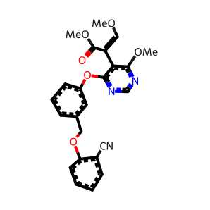 COC=C(C(=O)OC)c1c(OC)ncnc1Oc1cccc(COc2ccccc2C#N)c1